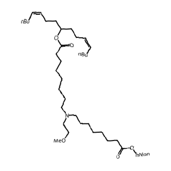 CCCC/C=C\CCC(CC/C=C\CCCC)OC(=O)CCCCCCCN(CCCCCCCC(=O)OCCCCCCCCC)CCOC